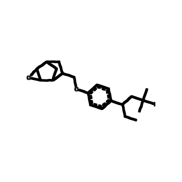 CCC(CC(C)(C)I)c1ccc(OCC2CC3CC2C2OC32)cc1